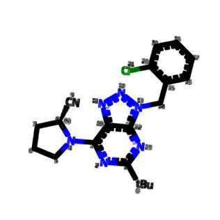 CC(C)(C)c1nc(N2CCC[C@H]2C#N)c2nnn(Cc3ccccc3Cl)c2n1